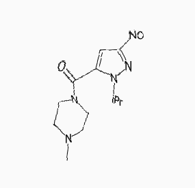 CC(C)n1nc(N=O)cc1C(=O)N1CCN(C)CC1